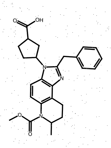 COC(=O)N1c2ccc3c(nc(Cc4ccccc4)n3C3CCC(C(=O)O)C3)c2CCC1C